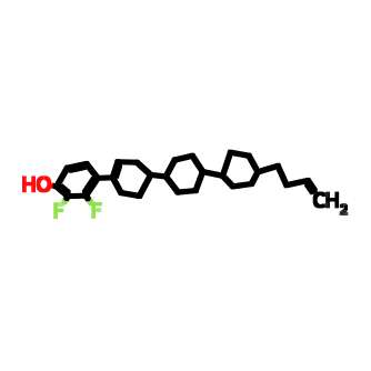 C=CCCC1CCC(C2CCC(C3CC=C(c4ccc(O)c(F)c4F)CC3)CC2)CC1